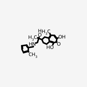 Cc1ccccc1CNCC(C)(O)C1CCc2c(c(C)cc(O)c(=O)c2O)C1